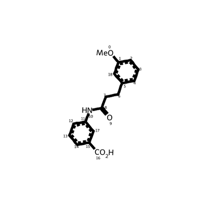 COc1cccc(CCC(=O)Nc2cccc(C(=O)O)c2)c1